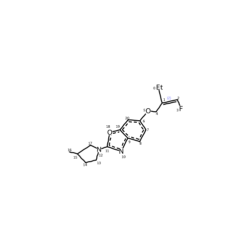 CC/C(=C/F)COc1ccc2nc(N3CCC(C)C3)oc2c1